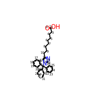 O=C(O)CCCCCCCCc1cn(C(c2ccccc2)(c2ccccc2)c2ccccc2)cn1